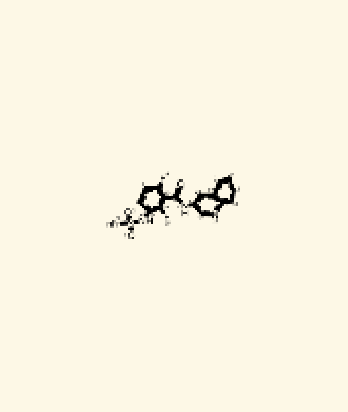 CCCS(=O)(=O)Nc1ccc(F)c(C(=O)Nc2cnc3ccccc3c2)c1F